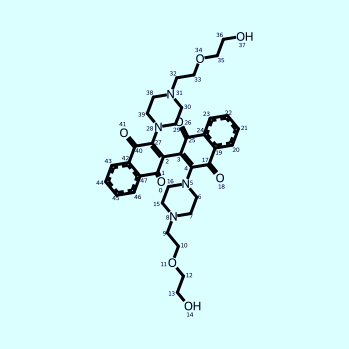 O=C1C(C2=C(N3CCN(CCOCCO)CC3)C(=O)c3ccccc3C2=O)=C(N2CCN(CCOCCO)CC2)C(=O)c2ccccc21